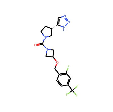 O=C(N1CC(OCc2ccc(C(F)(F)F)cc2F)C1)N1CC[C@H](c2cnn[nH]2)C1